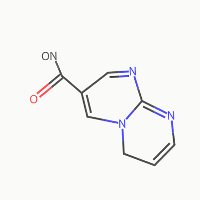 O=NC(=O)C1=CN2CC=CN=C2N=C1